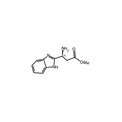 COC(=O)C[C@H](N)c1nc2ccccc2[nH]1